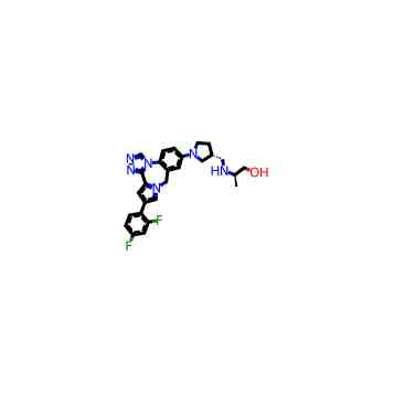 C[C@H](CO)NC[C@H]1CCN(c2ccc3c(c2)Cn2cc(-c4ccc(F)cc4F)cc2-c2nncn2-3)C1